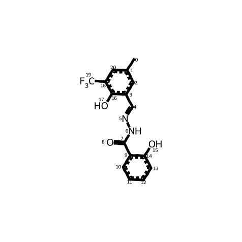 Cc1cc(/C=N/NC(=O)c2ccccc2O)c(O)c(C(F)(F)F)c1